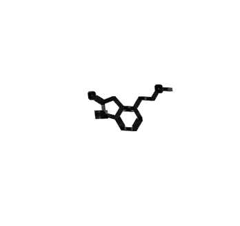 COCCc1cccc2c1CC(=O)N2